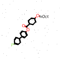 CCCCCCCCOC1CCC(C(=O)Oc2ccc(-c3ccc(F)cc3)cc2)CC1